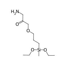 CCO[Si](C)(CCCOCC(=O)CN)OCC